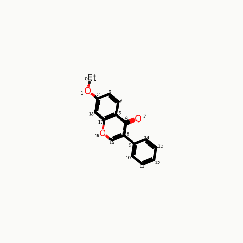 CCOc1ccc2c(=O)c(-c3ccccc3)coc2c1